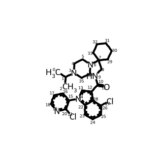 CC(C)N1CCN(C2(CNC(=O)c3cn(-c4cccnc4Cl)c4cccc(Cl)c34)CCCCC2)CC1